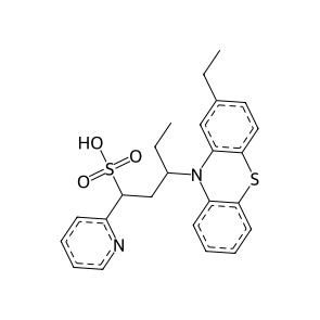 CCc1ccc2c(c1)N(C(CC)CC(c1ccccn1)S(=O)(=O)O)c1ccccc1S2